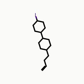 C=CCCC1CCC(C2CCC(I)CC2)CC1